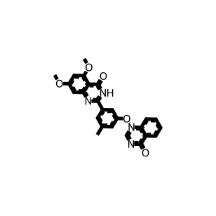 COc1cc(OC)c2c(=O)[nH]c(-c3cc(C)cc(On4cnc(=O)c5ccccc54)c3)nc2c1